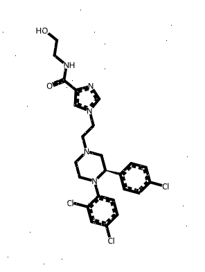 O=C(NCCO)c1cn(CCN2CCN(c3ccc(Cl)cc3Cl)[C@H](c3ccc(Cl)cc3)C2)cn1